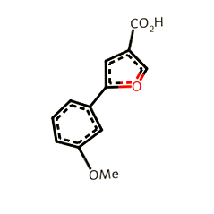 COc1cccc(-c2cc(C(=O)O)co2)c1